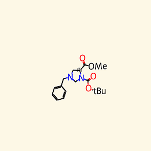 COC(=O)[C@@H]1CN(Cc2ccccc2)CN1C(=O)OC(C)(C)C